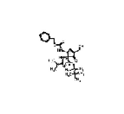 C[C@H](O[Si](C)(C)C(C)(C)C)[C@@]1(NC(=O)N(C)C)C(=O)C(CO)=C[C@@H]1NC(=O)OCc1ccccc1